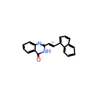 O=c1[nH]c(/C=C/c2cccc3ccccc23)nc2ccccc12